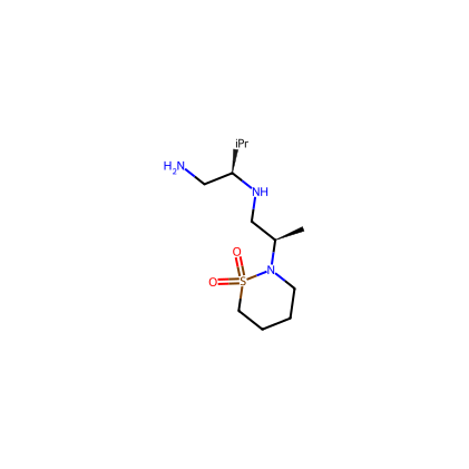 CC(C)[C@H](CN)NC[C@@H](C)N1CCCCS1(=O)=O